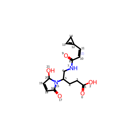 O=C(O)CCC(CNC(=O)/C=C\C1=CC1)N1C(=O)C=CC1O